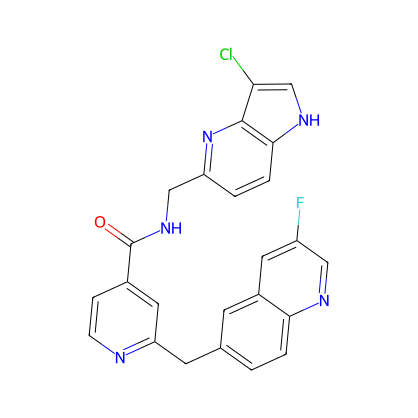 O=C(NCc1ccc2[nH]cc(Cl)c2n1)c1ccnc(Cc2ccc3ncc(F)cc3c2)c1